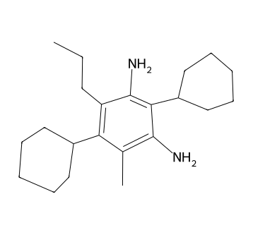 CCCc1c(N)c(C2CCCCC2)c(N)c(C)c1C1CCCCC1